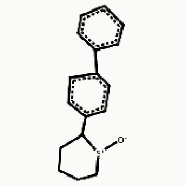 [O-][S+]1CCCCC1c1ccc(-c2ccccc2)cc1